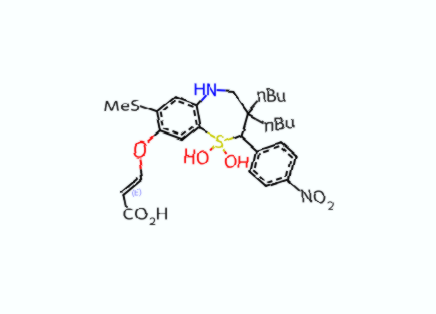 CCCCC1(CCCC)CNc2cc(SC)c(O/C=C/C(=O)O)cc2S(O)(O)C1c1ccc([N+](=O)[O-])cc1